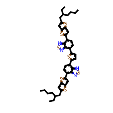 CCCCC(CC)Cc1cc2sc(-c3ccc(-c4ccc(-c5ccc(-c6cc7sc(CC(CC)CCCC)cc7s6)c6nsnc56)s4)c4nsnc34)cc2s1